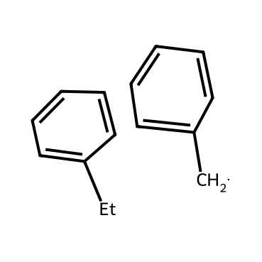 [CH2]Cc1ccccc1.[CH2]c1ccccc1